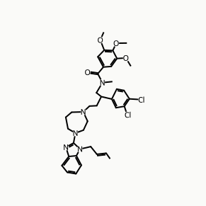 C/C=C/Cn1c(N2CCCN(CCC(CN(C)C(=O)c3cc(OC)c(OC)c(OC)c3)c3ccc(Cl)c(Cl)c3)CC2)nc2ccccc21